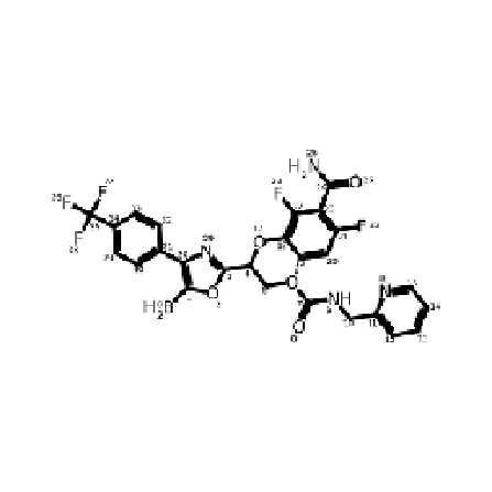 Bc1oc(C(COC(=O)NCc2ccccn2)Oc2ccc(F)c(C(N)=O)c2F)nc1-c1ccc(C(F)(F)F)cc1